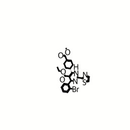 CCOC(=O)C1=C([C@H]2CC=C(C(=O)OC)CC2)NC(c2nccs2)=NC1c1ccccc1Br